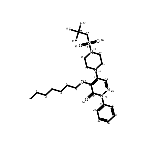 CCCCCCCOc1c(N2CCN(S(=O)(=O)CC(F)(F)F)CC2)cnn(-c2ccccc2)c1=O